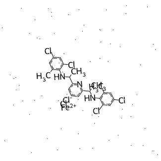 Cc1cc(Cl)cc(Cl)c1NC(C)c1cccc(C(C)Nc2c(C)cc(Cl)cc2Cl)n1.[Cl-].[Cl-].[Fe+2]